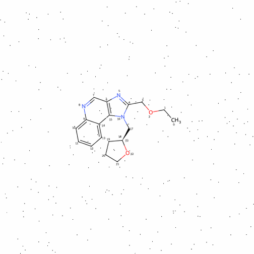 CCOCc1nc2cnc3ccccc3c2n1C[C@@H]1CCCO1